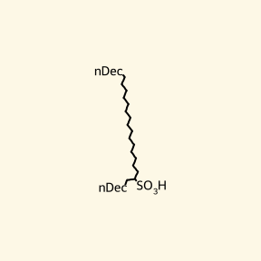 CCCCCCCCCCCCCCCCCCCCCCCCCC(CCCCCCCCCCC)S(=O)(=O)O